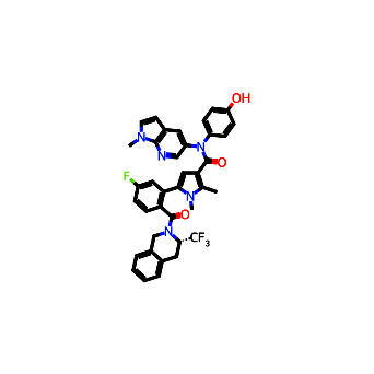 Cc1c(C(=O)N(c2ccc(O)cc2)c2cnc3c(ccn3C)c2)cc(-c2cc(F)ccc2C(=O)N2Cc3ccccc3C[C@H]2C(F)(F)F)n1C